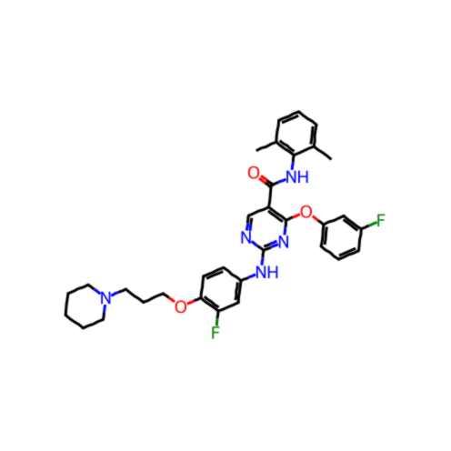 Cc1cccc(C)c1NC(=O)c1cnc(Nc2ccc(OCCCN3CCCCC3)c(F)c2)nc1Oc1cccc(F)c1